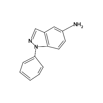 Nc1ccc2c(cnn2-c2ccccc2)c1